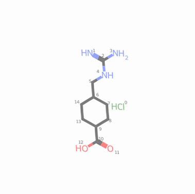 Cl.N=C(N)NCC1CCC(C(=O)O)CC1